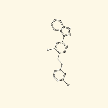 Clc1cc(-n2nnc3ccccc32)ncc1COc1cccc(Br)n1